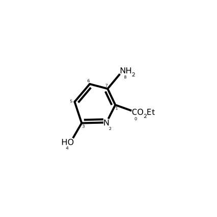 CCOC(=O)c1nc(O)ccc1N